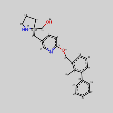 Cc1c(COc2ccc(C[C@]3(CO)CCCN3)cn2)cccc1-c1ccccc1